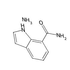 N.NC(=O)c1cccc2cc[nH]c12